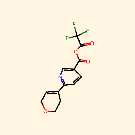 O=C(OC(=O)C(F)(F)F)c1ccc(C2=CCOCC2)nc1